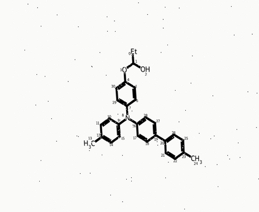 CCC(O)Oc1ccc(N(c2ccc(C)cc2)c2ccc(-c3ccc(C)cc3)cc2)cc1